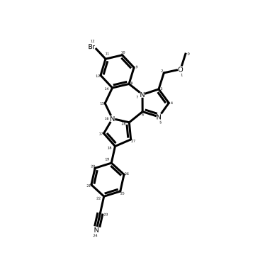 COCc1cnc2n1-c1ccc(Br)cc1Cn1cc(-c3ccc(C#N)cc3)cc1-2